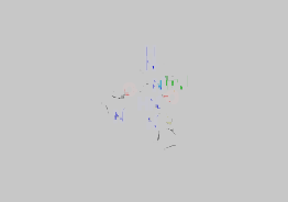 Cl.Cl.O=C(Nc1nc2ccccc2s1)N1CCNCC1COc1cccnc1